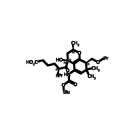 CCC[C@@H](CCCC(=O)O)C(=O)[N@+]1(O)C[C@@H](C)OC2=C1C(NC(=O)OC(C)(C)C)=CC(C)(C)[C@@H]2COC(C)C